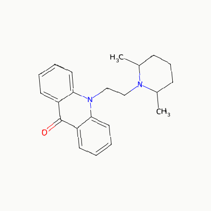 CC1CCCC(C)N1CCn1c2ccccc2c(=O)c2ccccc21